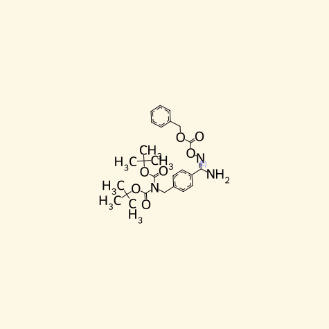 CC(C)(C)OC(=O)N(Cc1ccc(/C(N)=N\OC(=O)OCc2ccccc2)cc1)C(=O)OC(C)(C)C